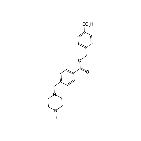 CN1CCN(Cc2ccc(C(=O)OCc3ccc(C(=O)O)cc3)cc2)CC1